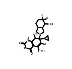 COC1=C(F)C(C2CC2)(N2CC3CCC(F)(F)C(O)C3C2)C(C)c2[nH]c(=O)[nH]c(=O)c21